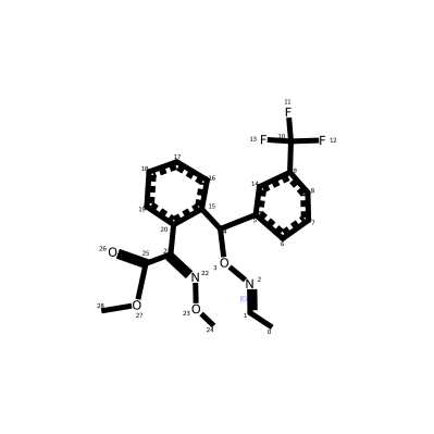 C/C=N/OC(c1cccc(C(F)(F)F)c1)c1ccccc1C(=NOC)C(=O)OC